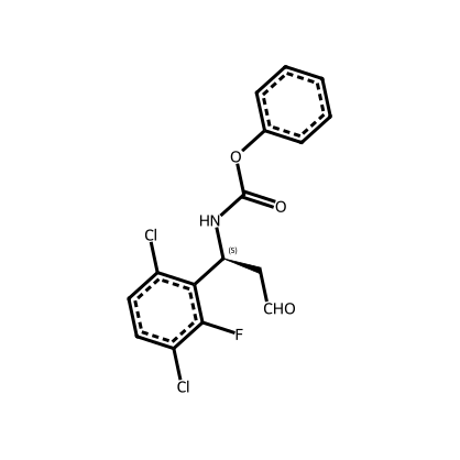 O=CC[C@H](NC(=O)Oc1ccccc1)c1c(Cl)ccc(Cl)c1F